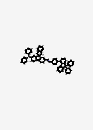 C1=C(/C=C/c2ccc(-c3cccc4c3-c3ccccc3C4(c3ccccc3)c3ccccc3)cc2)CCC2=C1C1(Cc3ccccc3C1)c1cc(N(c3ccccc3)c3ccccc3)ccc12